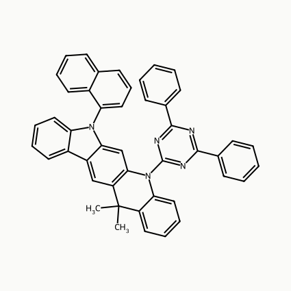 CC1(C)c2ccccc2N(c2nc(-c3ccccc3)nc(-c3ccccc3)n2)c2cc3c(cc21)c1ccccc1n3-c1cccc2ccccc12